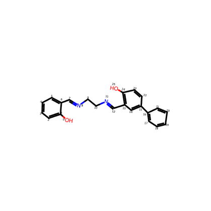 Oc1ccccc1C=NCCN=Cc1cc(-c2ccccc2)ccc1O